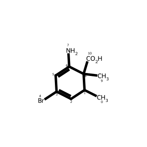 CC1C=C(Br)C=C(N)C1(C)C(=O)O